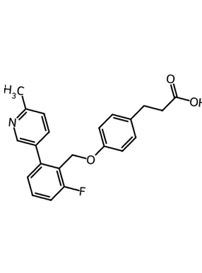 Cc1ccc(-c2cccc(F)c2COc2ccc(CCC(=O)O)cc2)cn1